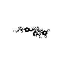 CCN(CC)C1=NC=CC(NC(Cc2ccc(OC(=O)N(C)C)cc2)C(=O)O)N1N(C)S(=O)(=O)c1cc(Cl)cc(Cl)c1